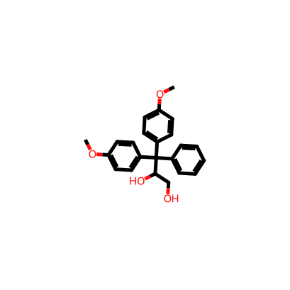 COc1ccc(C(c2ccccc2)(c2ccc(OC)cc2)C(O)CO)cc1